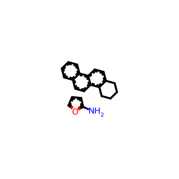 Nc1ccco1.c1ccc2c(c1)ccc1c3c(ccc12)CCCC3